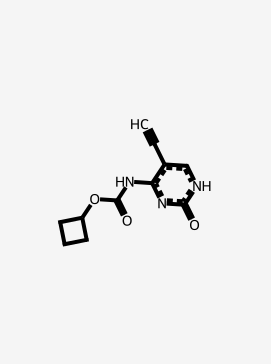 C#Cc1c[nH]c(=O)nc1NC(=O)OC1CCC1